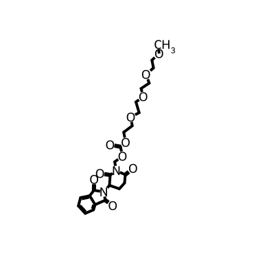 COCCOCCOCCOCCOC(=O)OCN1C(=O)CCC(N2C(=O)c3ccccc3C2=O)C1=O